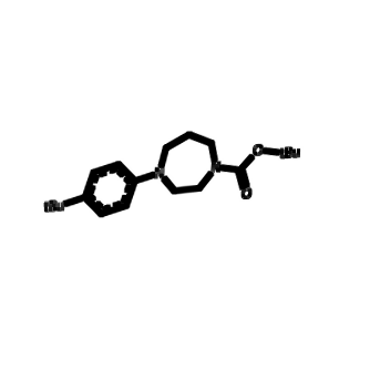 CC(C)(C)OC(=O)N1CCCN(c2ccc(C(C)(C)C)cc2)CC1